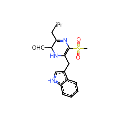 CC(C)CC1=NC(S(C)(=O)=O)=C(Cc2c[nH]c3ccccc23)NC1C=O